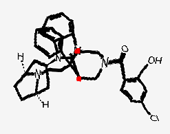 Cc1nc2ccccc2n1[C@H]1C[C@H]2CC[C@@H](C1)N2CCC1(c2ccccc2)CCN(C(=O)c2ccc(Cl)cc2O)CC1